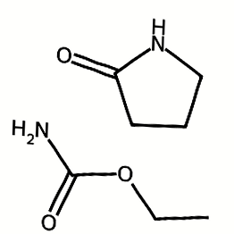 CCOC(N)=O.O=C1CCCN1